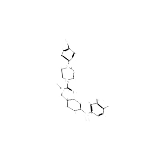 Cc1ccc(NC2CCC(CN(C)C(=O)N3CCN(c4ccc(F)cc4)CC3)CC2)cc1C(F)(F)F